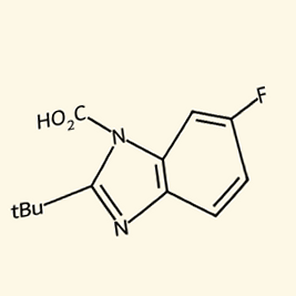 CC(C)(C)c1nc2ccc(F)cc2n1C(=O)O